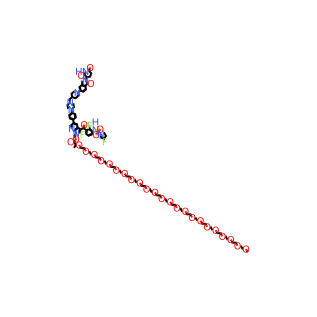 COCCOCCOCCOCCOCCOCCOCCOCCOCCOCCOCCOCCOCCOCCOCCOCCOCCOCCOCCOCCOCCOCCOC(C)C(=O)OCn1cc(C(=O)c2c(F)ccc(NS(=O)(=O)N3CC[C@@H](F)C3)c2F)c2cc(-c3ccc(N4CCN(CC5CCN(c6ccc7c(c6)CN(C6CCC(=O)NC6=O)C7=O)CC5)CC4)cc3)cnc21